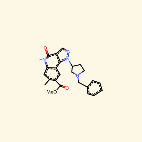 COC(=O)c1cc2c(cc1C)[nH]c(=O)c1cnn(C3CCN(Cc4ccccc4)C3)c12